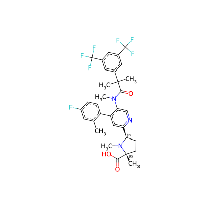 Cc1cc(F)ccc1-c1cc([C@H]2CC[C@](C)(C(=O)O)N2C)ncc1N(C)C(=O)C(C)(C)c1cc(C(F)(F)F)cc(C(F)(F)F)c1